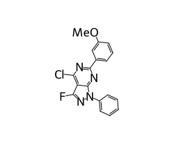 COc1cccc(-c2nc(Cl)c3c(F)nn(-c4ccccc4)c3n2)c1